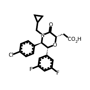 O=C(O)C[C@@H]1O[C@H](c2cc(F)cc(F)c2)[C@@H](c2ccc(Cl)cc2)N(CC2CC2)C1=O